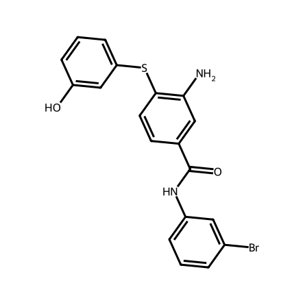 Nc1cc(C(=O)Nc2cccc(Br)c2)ccc1Sc1cccc(O)c1